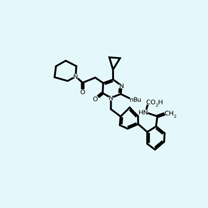 C=C(NC(=O)O)c1ccccc1-c1ccc(Cn2c(CCCC)nc(C3CC3)c(CC(=O)N3CCCCC3)c2=O)cc1